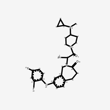 CC(C)C(C(=O)N1CCC(N(C)C2CC2)CC1)N1Cc2cc(Oc3ccc(F)cc3F)ccc2CCC1=O